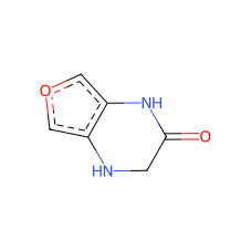 O=C1CNc2cocc2N1